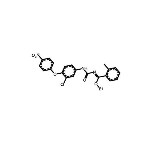 CCO/C(=N\C(=O)Nc1ccc(Oc2ccc([N+](=O)[O-])cc2)c(Cl)c1)c1ccccc1C